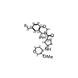 CO[C@@H]1COCC[C@@H]1N[C@@H]1CC[C@@](C(=O)N2COc3ccc(CF)cc3C2)(C(C)C)C1